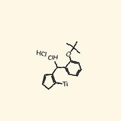 CC(C1=[C]([Ti])CC=C1)c1ccccc1OC(C)(C)C.Cl.Cl